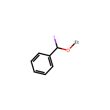 CCOC(I)c1ccccc1